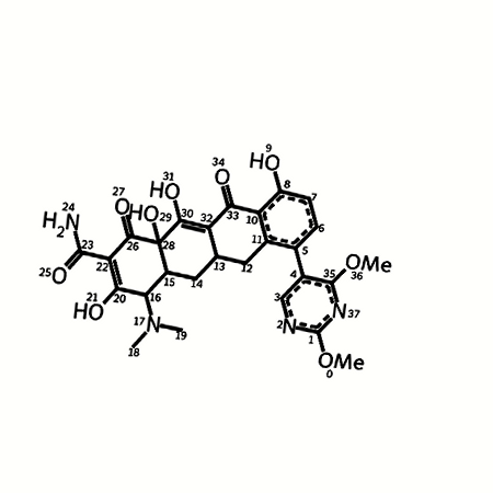 COc1ncc(-c2ccc(O)c3c2CC2CC4C(N(C)C)C(O)=C(C(N)=O)C(=O)C4(O)C(O)=C2C3=O)c(OC)n1